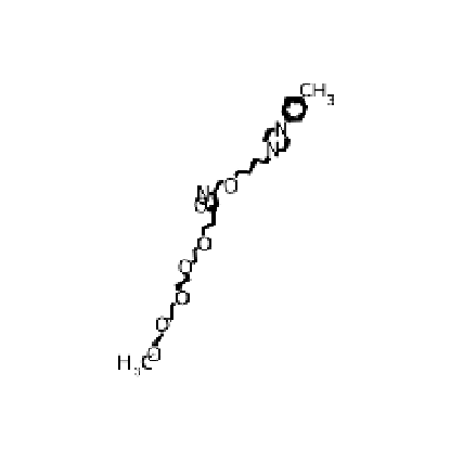 COCCOCCOCCOCCOCCc1cc(COCCCCN2CCN(c3ccc(C)cc3)CC2)no1